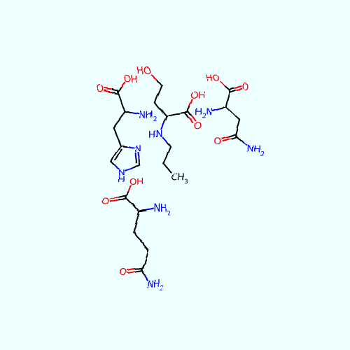 CCCNC(CCO)C(=O)O.NC(=O)CC(N)C(=O)O.NC(=O)CCC(N)C(=O)O.NC(Cc1c[nH]cn1)C(=O)O